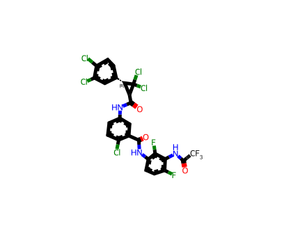 O=C(Nc1ccc(F)c(NC(=O)C(F)(F)F)c1F)c1cc(NC(=O)C2[C@H](c3ccc(Cl)c(Cl)c3)C2(Cl)Cl)ccc1Cl